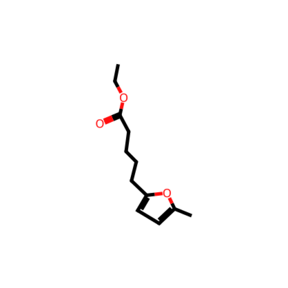 CCOC(=O)CCCCc1ccc(C)o1